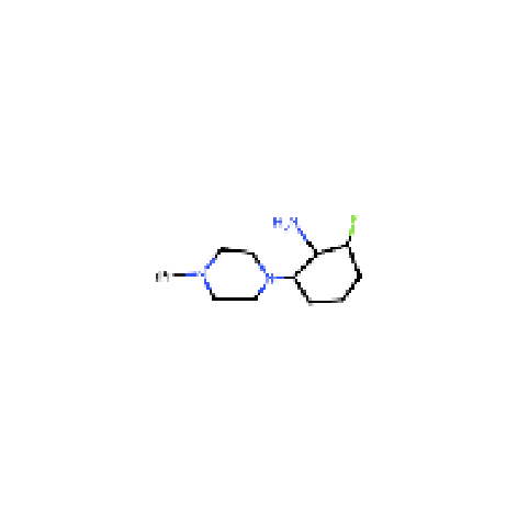 CC(C)N1CCN(C2CCCC(F)C2N)CC1